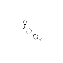 C[C@@H]1CN(c2ccc(C(C)(C)C)cc2)C[C@H](C)N1C(=O)c1ccc[nH]1